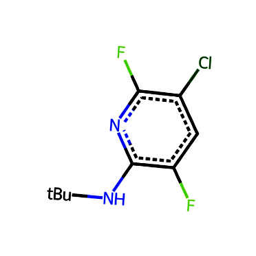 CC(C)(C)Nc1nc(F)c(Cl)cc1F